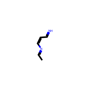 C/C=N/C=C\C=N